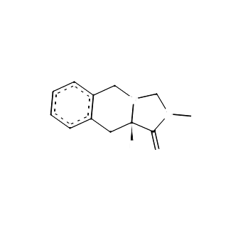 CN1CN2Cc3ccccc3C[C@H]2C1=O